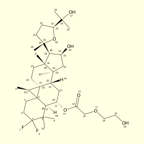 C[C@@H]1C23CCC(F)(F)C(C)(C)[C@@H]2[C@@H](OC(=O)COCCO)C[C@@H]2[C@]13CC[C@]1(C)[C@@H]([C@]3(C)CC[C@@H](C(C)(C)O)O3)[C@@H](O)C[C@@]21C